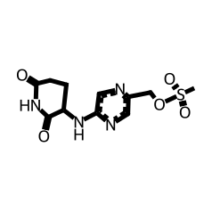 CS(=O)(=O)OCc1cnc(NC2CCC(=O)NC2=O)cn1